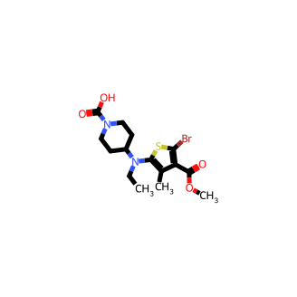 CCN(c1sc(Br)c(C(=O)OC)c1C)C1CCN(C(=O)O)CC1